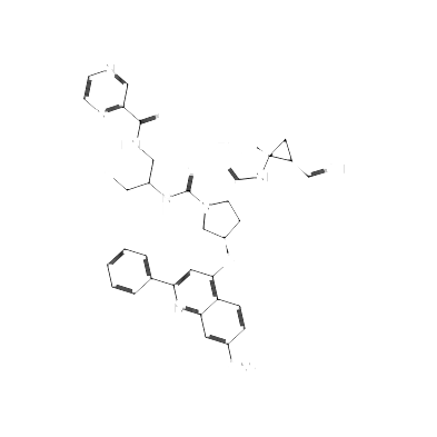 C=C[C@@H]1C[C@]1(NC(=O)[C@@H]1C[C@@H](Oc2cc(-c3ccccc3)nc3cc(OC)ccc23)CN1C(=O)NC(CNC(=O)c1cnccn1)CC(C)C)C(=O)O